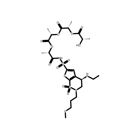 CCN[C@H]1CN(CCCOC)S(=O)(=O)c2sc(S(=O)(=O)NC(=O)[C@H](C)OC(=O)[C@H](C)OC(=O)[C@H](C)OC(=O)[C@H](C)O)cc21